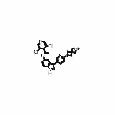 CC(Oc1ccc2[nH]nc(-c3ccc(N4CC5(CNC5)C4)nc3)c2c1)c1c(Cl)cncc1Cl